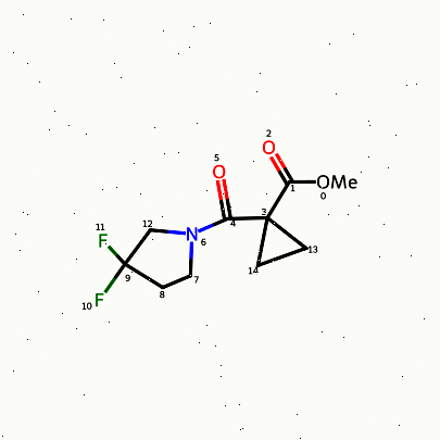 COC(=O)C1(C(=O)N2CCC(F)(F)C2)CC1